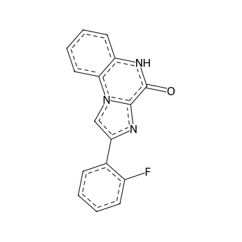 O=c1[nH]c2ccccc2n2cc(-c3ccccc3F)nc12